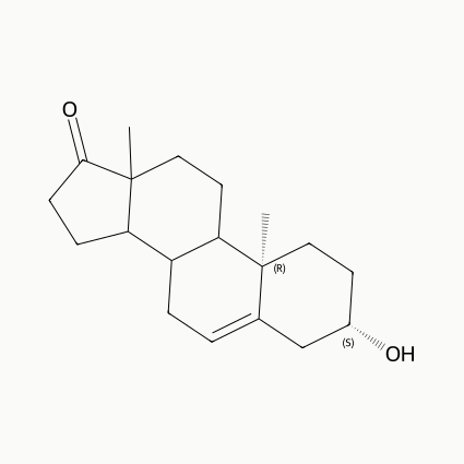 CC12CCC3C(CC=C4C[C@@H](O)CC[C@@]43C)C1CCC2=O